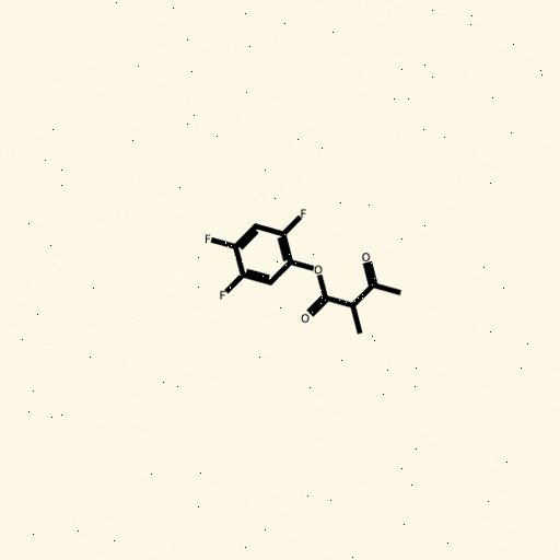 CC(=O)C(C)C(=O)Oc1cc(F)c(F)cc1F